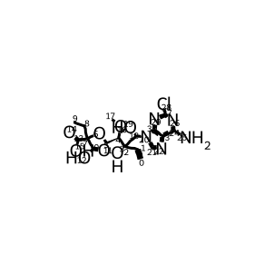 C#C[C@@](O)([C@@H](COC(CC)(C(=O)O)C(=O)O)OC)[C@@H](O)n1cnc2c(N)nc(Cl)nc21